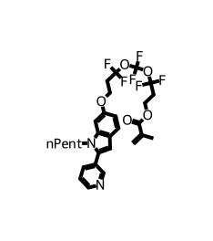 C=C(C)C(=O)OCCC(F)(F)OC(F)(F)OC(F)(F)CCOc1ccc2cc(-c3cccnc3)n(CCCCC)c2c1